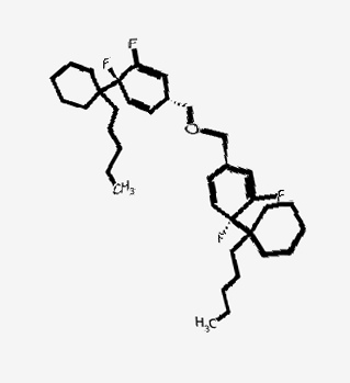 CCCCCC1([C@@]2(F)C=C[C@@H](COC[C@@H]3C=C[C@](F)(C4(CCCCC)CCCCC4)C(F)=C3)C=C2F)CCCCC1